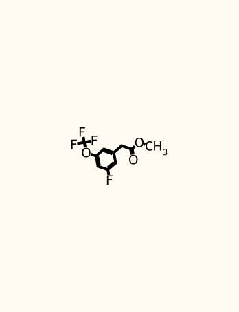 COC(=O)Cc1cc(F)cc(OC(F)(F)F)c1